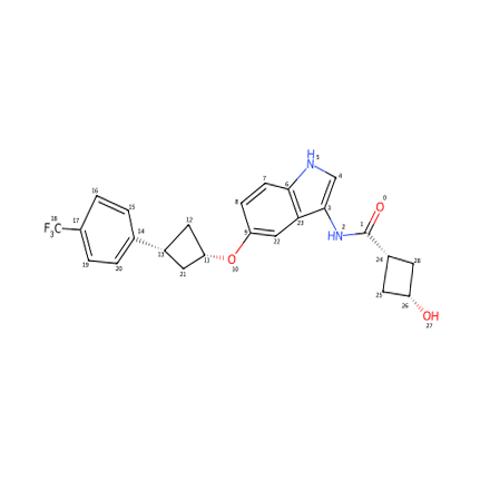 O=C(Nc1c[nH]c2ccc(O[C@H]3C[C@@H](c4ccc(C(F)(F)F)cc4)C3)cc12)[C@H]1C[C@@H](O)C1